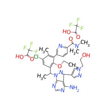 CCOc1c(C(C)n2nc(-c3cnn(CCO)c3)c3c(N)ncnc32)cc(Cl)c(C)c1-c1ccc(C(=O)N(C)C)nc1.O=C(O)C(F)(F)F.O=C(O)C(F)(F)F